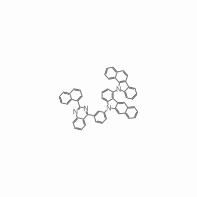 c1cc(-c2nc(-c3cccc4ccccc34)nc3ccccc23)cc(-n2c3cc4ccccc4cc3c3c(-n4c5ccccc5c5ccc6ccccc6c54)cccc32)c1